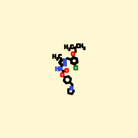 Cc1cc(NC(=O)OC2CCC(CN3CCCC3)CC2)nn1Cc1cc(Cl)ccc1OCC(C)C